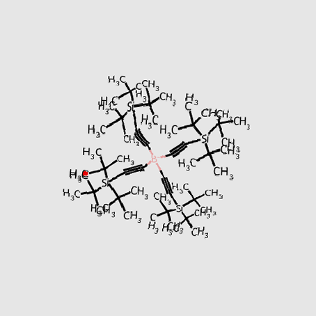 CC(C)(C)[Si](C#C[B-](C#C[Si](C(C)(C)C)(C(C)(C)C)C(C)(C)C)(C#C[Si](C(C)(C)C)(C(C)(C)C)C(C)(C)C)C#C[Si](C(C)(C)C)(C(C)(C)C)C(C)(C)C)(C(C)(C)C)C(C)(C)C